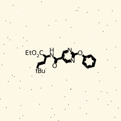 CCOC(=O)C(C=CC(C)(C)C)NC(=O)c1cnc(Oc2ccccc2)nc1